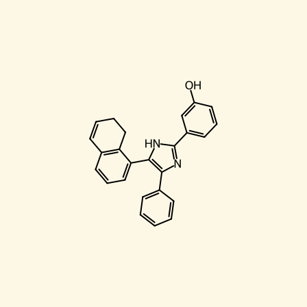 Oc1cccc(-c2nc(-c3ccccc3)c(-c3cccc4c3CCC=C4)[nH]2)c1